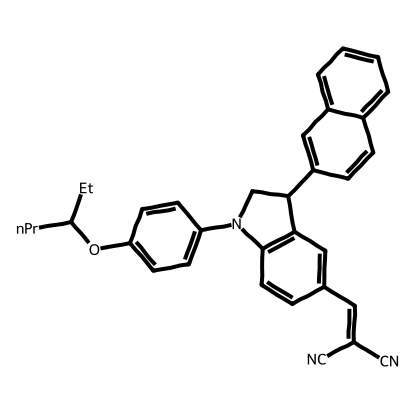 CCCC(CC)Oc1ccc(N2CC(c3ccc4ccccc4c3)c3cc(C=C(C#N)C#N)ccc32)cc1